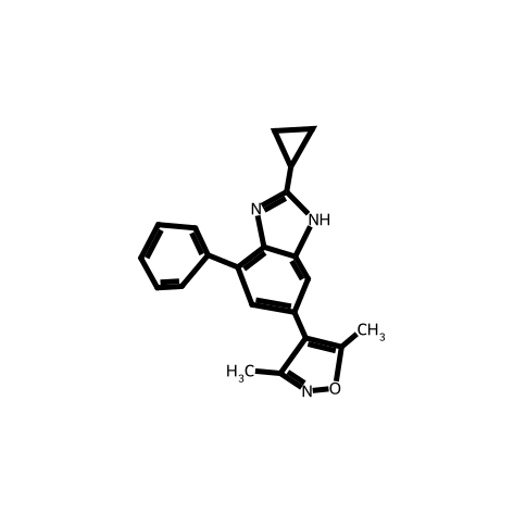 Cc1noc(C)c1-c1cc(-c2ccccc2)c2nc(C3CC3)[nH]c2c1